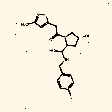 Cc1cc(CC(=O)N2C[C@H](O)C[C@H]2C(O)NCc2ccc(Br)cc2)on1